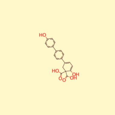 O=C(O)C1(C(=O)O)CC(c2ccc(-c3ccc(O)cc3)cc2)=CC=C1O